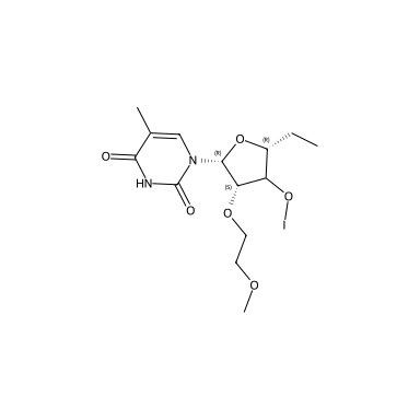 CC[C@H]1O[C@@H](n2cc(C)c(=O)[nH]c2=O)[C@@H](OCCOC)C1OI